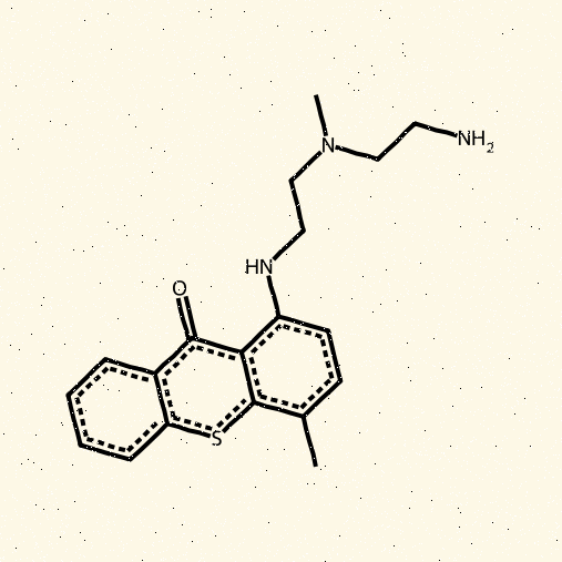 Cc1ccc(NCCN(C)CCN)c2c(=O)c3ccccc3sc12